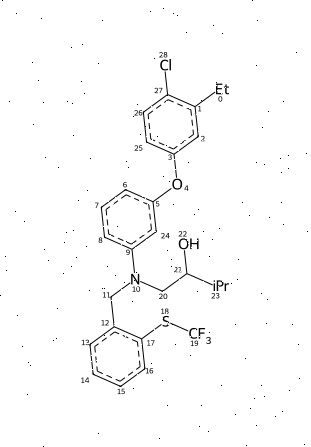 CCc1cc(Oc2cccc(N(Cc3ccccc3SC(F)(F)F)CC(O)C(C)C)c2)ccc1Cl